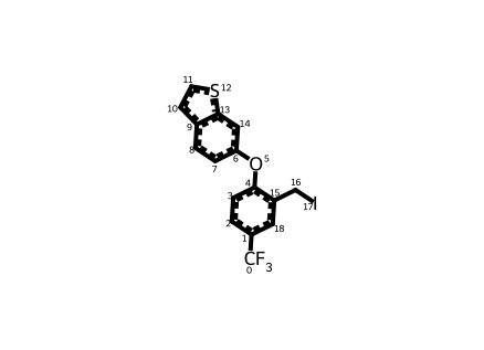 FC(F)(F)c1ccc(Oc2ccc3ccsc3c2)c(CI)c1